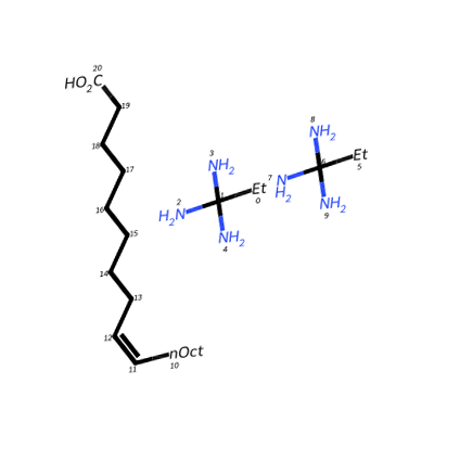 CCC(N)(N)N.CCC(N)(N)N.CCCCCCCC/C=C\CCCCCCCC(=O)O